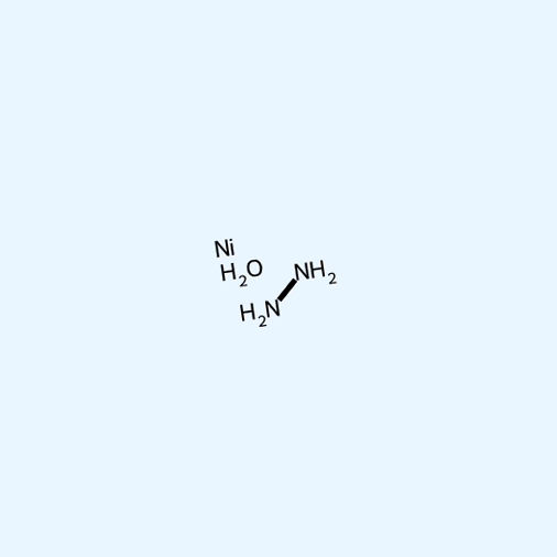 NN.O.[Ni]